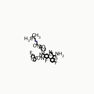 CN(C)C/C=C/C(=O)N1CC2(C1)CN(c1nc(OC[C@@]34CCCN3C[C@H](F)C4)nc3c(F)c(-c4ccc(F)c5sc(N)c(C#N)c45)c(Cl)cc13)CCO2